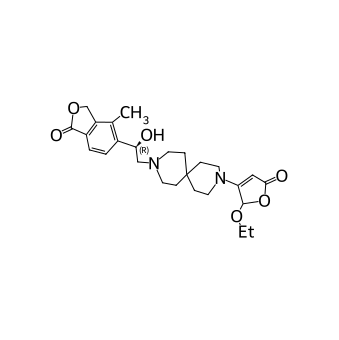 CCOC1OC(=O)C=C1N1CCC2(CCN(C[C@H](O)c3ccc4c(c3C)COC4=O)CC2)CC1